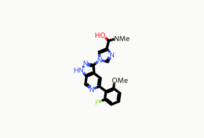 CNC(O)c1cn(-c2n[nH]c3cnc(-c4c(F)cccc4OC)cc23)cn1